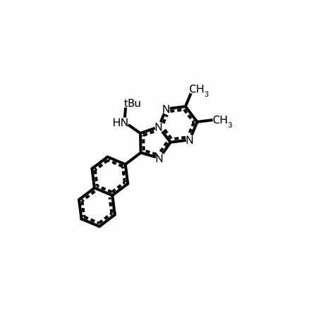 Cc1nc2nc(-c3ccc4ccccc4c3)c(NC(C)(C)C)n2nc1C